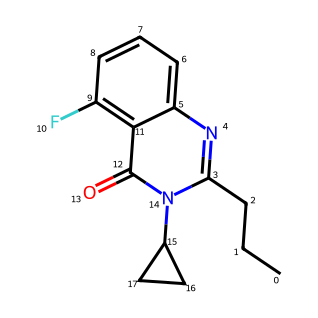 CCCc1nc2cccc(F)c2c(=O)n1C1CC1